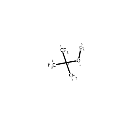 [CH2]COC(C(F)(F)F)(C(F)(F)F)C(F)(F)F